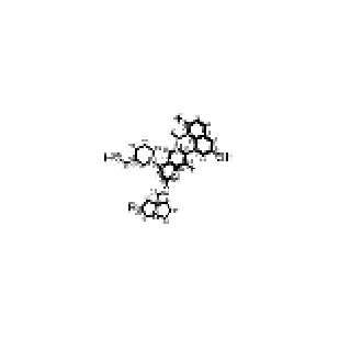 CCc1c(F)ccc2cc(O)cc(-c3ncc4c(N5CCC[C@H](CO)C5)nc(OC[C@@]56CCCN5C[C@H](F)C6)nc4c3F)c12